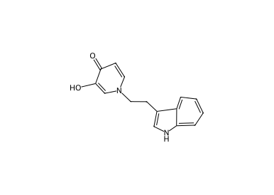 O=c1ccn(CCc2c[nH]c3ccccc23)cc1O